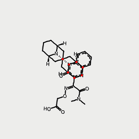 CN(C)C(=O)/C(=N\OCC(=O)O)c1nc2ccccc2n([C@H]2C[C@H]3CCC[C@@H](C2)N3[C@H]2C[C@@H]3CCC[C@@H](C3)C2)c1=O